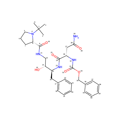 CC(C)(C)N1CCC[C@H]1C(=O)NC[C@@H](O)[C@H](Cc1ccccc1)NC(=O)[C@H](CC(N)=O)NC(=O)OCc1ccccc1